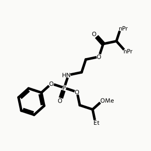 CCCC(CCC)C(=O)OCCNP(=O)(OCC(CC)OC)Oc1ccccc1